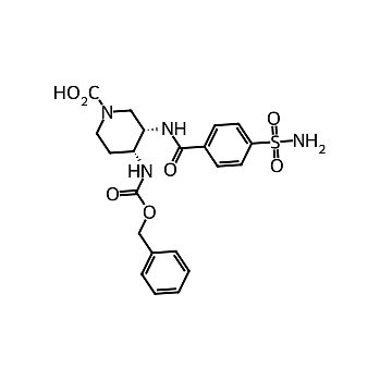 NS(=O)(=O)c1ccc(C(=O)N[C@H]2CN(C(=O)O)CC[C@H]2NC(=O)OCc2ccccc2)cc1